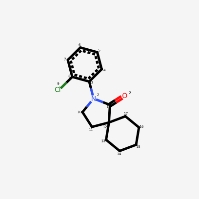 O=C1N(c2ccccc2Cl)CCC12CCCCC2